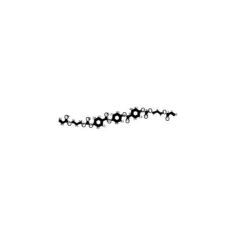 C=CC(=O)OCCCOC(=O)Oc1ccc(C(=O)Oc2ccc(OC(=O)c3ccc(OC(=O)OCCCOC(=O)C=C)cc3)cc2)cc1